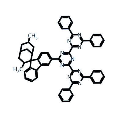 CC1CC2CC(C)C3(c4ccccc4-c4cc(-c5nc(-c6nc(-c7ccccc7)nc(-c7ccccc7)n6)nc(-c6nc(-c7ccccc7)nc(-c7ccccc7)n6)n5)ccc43)C(C1)C2